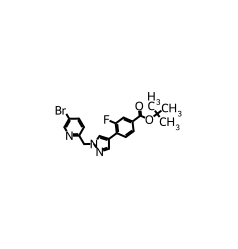 CC(C)(C)OC(=O)c1ccc(-c2cnn(Cc3ccc(Br)cn3)c2)c(F)c1